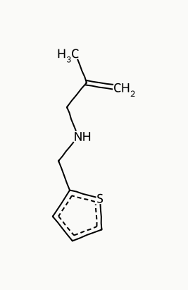 C=C(C)CNCc1cccs1